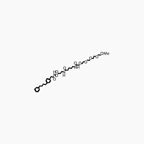 COCCOCCOCCOCCOCC(=O)NCCCCC(=O)NCCC(=O)ONC(=O)Cc1ccc(CCCCc2ccccc2)cc1